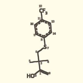 C=C(O)C(C)(C)CSc1ccc(C(F)(F)F)cc1